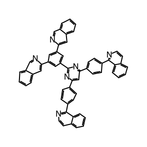 c1ccc2cc(-c3cc(-c4cc5ccccc5cn4)cc(-c4nc(-c5ccc(-c6nccc7ccccc67)cc5)cc(-c5ccc(-c6nccc7ccccc67)cc5)n4)c3)ncc2c1